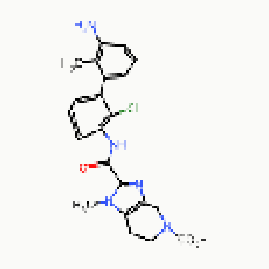 Cc1c(N)cccc1-c1cccc(NC(=O)c2nc3c(n2C)CCN(C(=O)O)C3)c1Cl